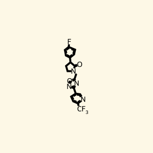 O=C1C(c2ccc(F)cc2)CCN1Cc1nc(-c2ccc(C(F)(F)F)nc2)no1